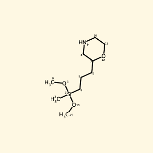 CO[Si](C)(CCCC1CNCCO1)OC